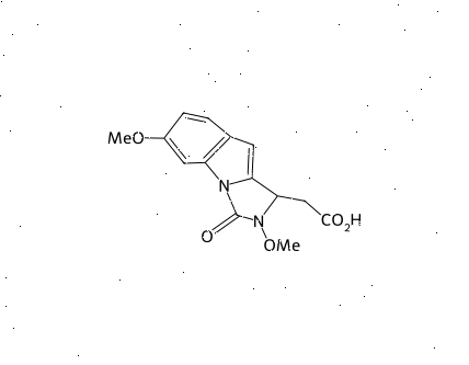 COc1ccc2cc3n(c2c1)C(=O)N(OC)C3CC(=O)O